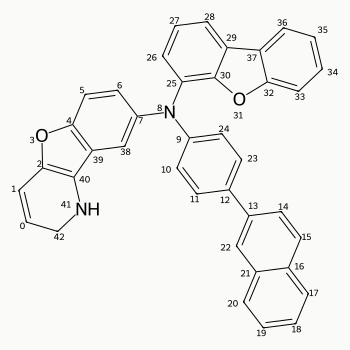 C1=Cc2oc3ccc(N(c4ccc(-c5ccc6ccccc6c5)cc4)c4cccc5c4oc4ccccc45)cc3c2NC1